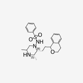 CC1CN(NS(=O)(=O)c2ccccc2)[C@H](CCC2OCCc3ccccc32)[C@H](C)N1